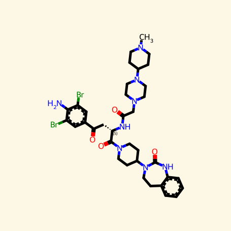 CN1CCC(N2CCN(CC(=O)N[C@@H](CC(=O)c3cc(Br)c(N)c(Br)c3)C(=O)N3CCC(N4CCc5ccccc5NC4=O)CC3)CC2)CC1